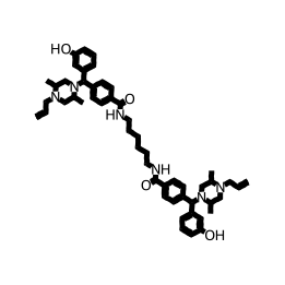 C=CCN1CC(C)N(C(c2ccc(C(=O)NCCCCCCNC(=O)c3ccc(C(c4cccc(O)c4)N4CC(C)N(CC=C)CC4C)cc3)cc2)c2cccc(O)c2)CC1C